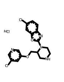 Cl.Clc1cncc(OCC2CNCCN2c2nc3ccc(Cl)cc3o2)c1